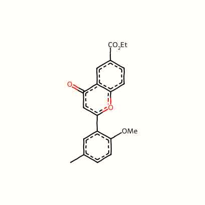 CCOC(=O)c1ccc2oc(-c3cc(C)ccc3OC)cc(=O)c2c1